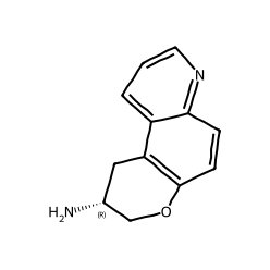 N[C@H]1COc2ccc3ncccc3c2C1